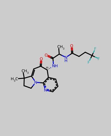 CC(NC(=O)CCC(F)(F)F)C(=O)N[C@H]1C(=O)C=C2N(CCC2(C)C)c2ncccc21